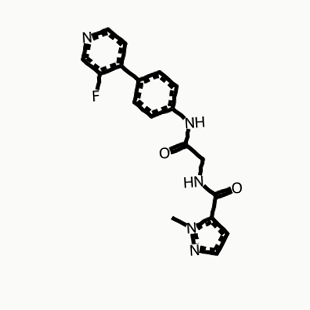 Cn1nccc1C(=O)NCC(=O)Nc1ccc(-c2ccncc2F)cc1